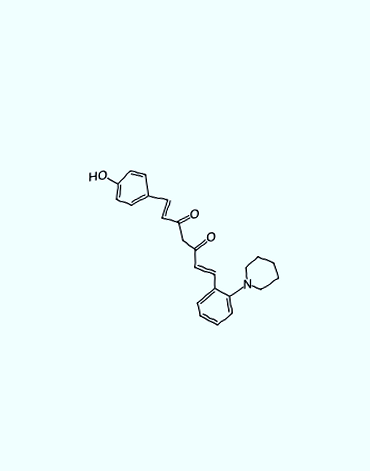 O=C(/C=C/c1ccc(O)cc1)CC(=O)/C=C/c1ccccc1N1CCCCC1